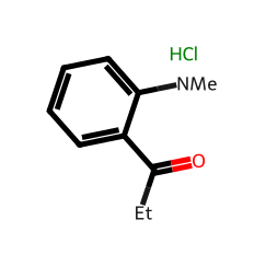 CCC(=O)c1ccccc1NC.Cl